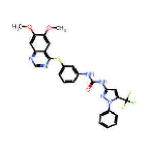 COc1cc2ncnc(Sc3cccc(NC(=O)Nc4cc(C(F)(F)F)n(-c5ccccc5)n4)c3)c2cc1OC